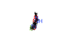 CC(C)=CCON=CC(C)NC(=O)c1ccc(-c2noc(C(F)(F)F)n2)cc1